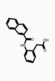 O=C(O)Cc1ccccc1NC(=O)c1ccc2ccccc2c1